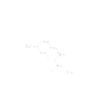 CN(CC(=O)OC(C)(C)C)Cc1c(F)cc(C#N)cc1F